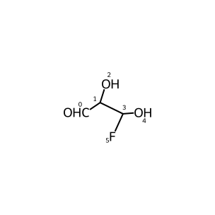 O=CC(O)C(O)F